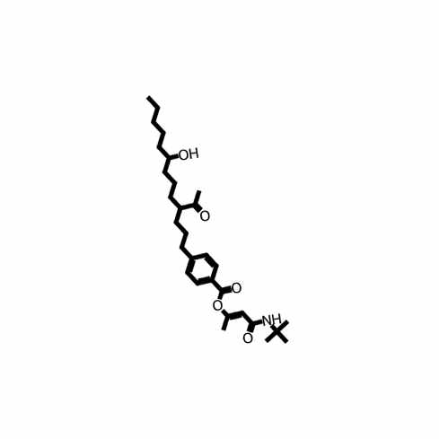 CCCCCC(O)CCCC(CCCc1ccc(C(=O)OC(C)=CC(=O)NC(C)(C)C)cc1)C(C)=O